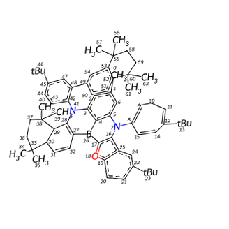 Cc1cc2c3c(c1)N(C1=CCC=C(C(C)(C)C)C=C1)c1c(oc4ccc(C(C)(C)C)cc14)B3C1=C(C3C(C=C1)C(C)(C)CCC3(C)C)N2c1ccc(C(C)(C)C)cc1-c1ccc2c(c1)C(C)(C)CCC2(C)C